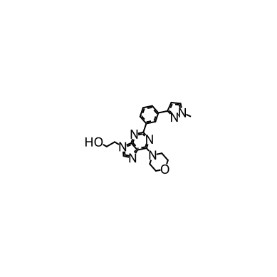 Cn1ccc(-c2cccc(-c3nc(N4CCOCC4)c4ncn(CCO)c4n3)c2)n1